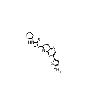 Cc1ccc(-c2cnc3ccc(NC(=S)NC4CCCC4)nc3n2)s1